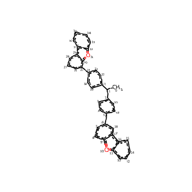 CC(c1ccc(-c2ccc3oc4ccccc4c3c2)cc1)c1ccc(-c2cccc3c2oc2ccccc23)cc1